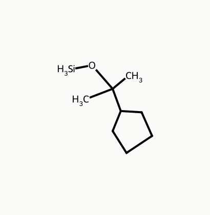 CC(C)(O[SiH3])C1CCCC1